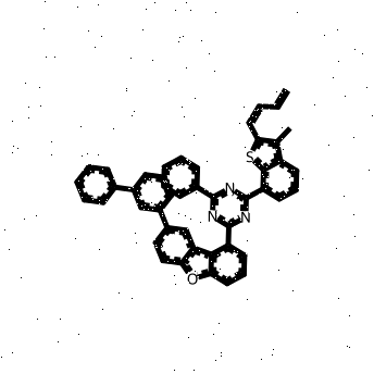 C=C/C=C\c1sc2c(-c3nc(-c4ccccc4)nc(-c4cccc5oc6ccc(-c7cccc(-c8ccccc8)c7)cc6c45)n3)cccc2c1C